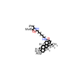 C=C(C)[C@@H]1CC[C@]2(C(=O)NCCCCCCCC(=O)NC(CC(C)C)C(=O)OC)CC[C@]3(C)[C@H](CCC4[C@@]5(C)CCC(OC(C)=O)C(C)(C)[C@@H]5CC[C@]43C)[C@@H]12